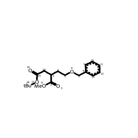 COC(=O)C(CCOCc1ccccc1)CC(=O)OC(C)(C)C